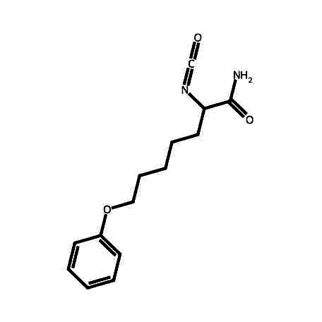 NC(=O)C(CCCCCOc1ccccc1)N=C=O